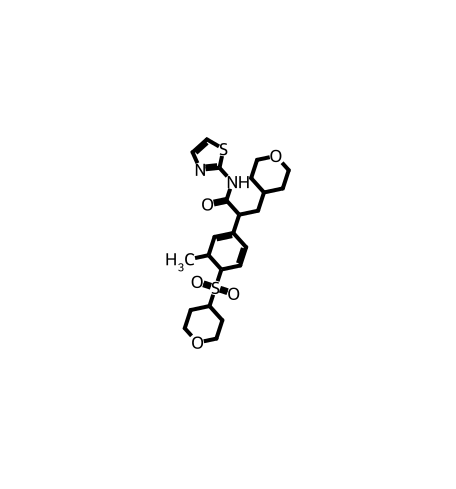 CC1C=C(C(CC2CCOCC2)C(=O)Nc2nccs2)C=CC1S(=O)(=O)C1CCOCC1